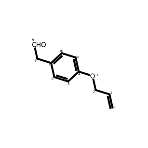 C=CCOc1ccc(CC=O)cc1